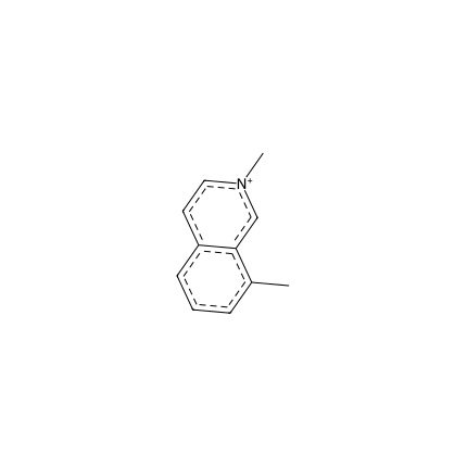 Cc1cccc2cc[n+](C)cc12